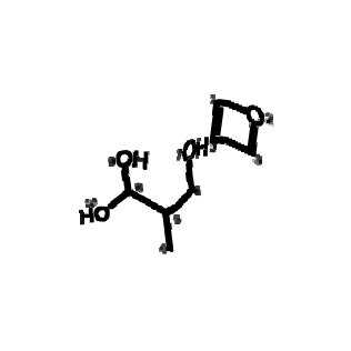 C1=COC1.CC(CO)C(O)O